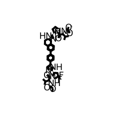 COC(=O)N[C@H](C(=O)N1CC(F)(F)C[C@H]1c1ncc(-c2ccc(-c3ccc4c(c3)CCc3[nH]c([C@@H]5CCCN5C(=O)[C@@H](NC(=O)OC)C(C)C)nc3-4)cc2)[nH]1)C(C)C